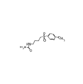 Cc1ccc(S(=O)(=O)CCCCNC(N)=O)cc1